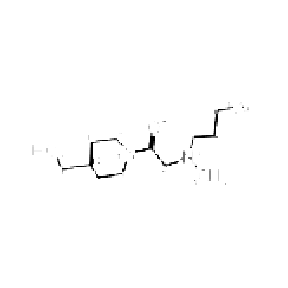 CC(=O)CCCN(C)CC(=O)N1CCC(CO)CC1